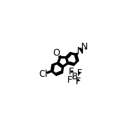 F[B-](F)(F)F.N#[N+]c1ccc2c(c1)C(=O)c1cc(Cl)ccc1-2